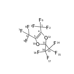 FC(F)(F)C1=C(C(F)(F)F)OC2(O1)C(F)(F)C2(F)F